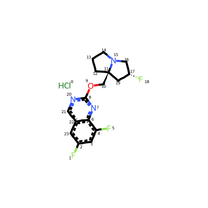 Cl.Fc1cc(F)c2nc(OC[C@@]34CCCN3C[C@H](F)C4)ncc2c1